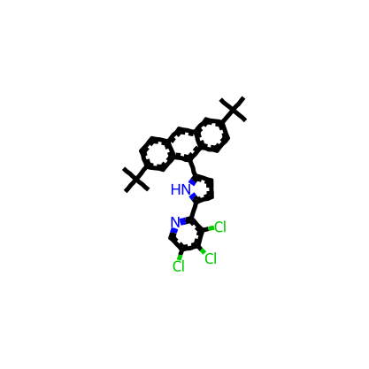 CC(C)(C)c1ccc2c(-c3ccc(-c4ncc(Cl)c(Cl)c4Cl)[nH]3)c3cc(C(C)(C)C)ccc3cc2c1